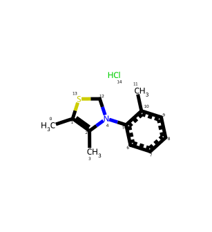 CC1=C(C)N(c2ccccc2C)CS1.Cl